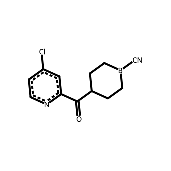 N#CB1CCC(C(=O)c2cc(Cl)ccn2)CC1